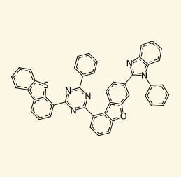 c1ccc(-c2nc(-c3cccc4c3sc3ccccc34)nc(-c3cccc4oc5cc(-c6nc7ccccc7n6-c6ccccc6)ccc5c34)n2)cc1